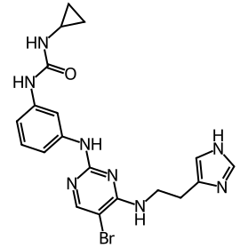 O=C(Nc1cccc(Nc2ncc(Br)c(NCCc3c[nH]cn3)n2)c1)NC1CC1